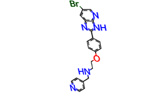 Brc1cnc2[nH]c(-c3ccc(OCCNCc4ccncc4)cc3)nc2c1